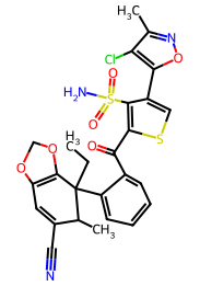 CCC1(c2ccccc2C(=O)c2scc(-c3onc(C)c3Cl)c2S(N)(=O)=O)C2=C(C=C(C#N)C1C)OCO2